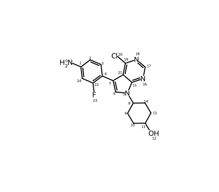 Nc1ccc(-c2cn(C3CCC(O)CC3)c3ncnc(Cl)c23)c(F)c1